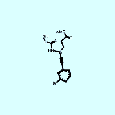 COC(=O)CC[C@@H](C#Cc1cccc(Br)c1)NC(=O)OC(C)(C)C